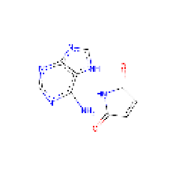 Nc1ncnc2nc[nH]c12.O=C1C=CC(=O)N1